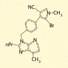 CCCc1nc2c(C)ccnc2n1Cc1ccc(-c2c(C#N)cn(C)c2Br)cc1